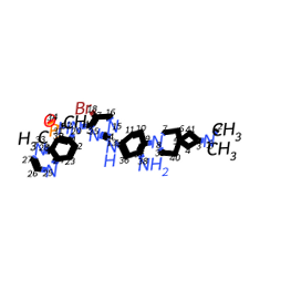 CN(C)C1CC2(CCN(c3ccc(Nc4ncc(Br)c(Nc5ccc6nccnc6c5P(C)(C)=O)n4)cc3N)CC2)C1